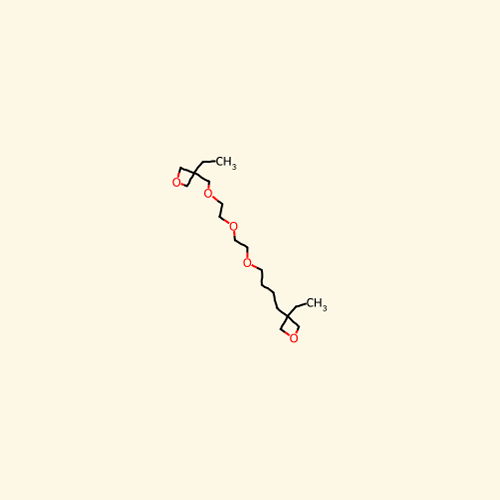 CCC1(CCCCOCCOCCOCC2(CC)COC2)COC1